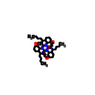 CCCCC(N=C=O)C1CCCCC1n1c(=O)n(C2CCCCC2C(CCCC)N=C=O)c(=O)n(C2CCCCC2C(CCCC)N=C=O)c1=O